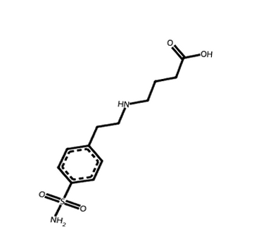 NS(=O)(=O)c1ccc(CCNCCCC(=O)O)cc1